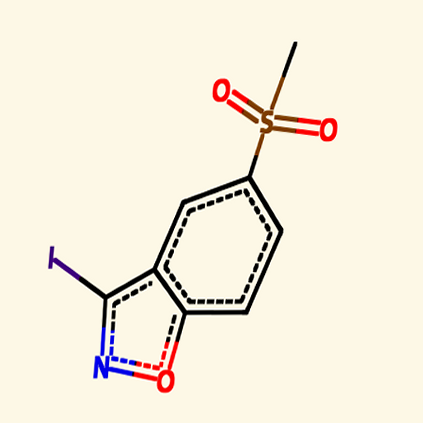 CS(=O)(=O)c1ccc2onc(I)c2c1